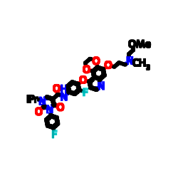 COCCN(C)CCCOc1cc2nccc(Oc3ccc(NC(=O)c4cn(C(C)C)c(=O)n(-c5ccc(F)cc5)c4=O)cc3F)c2c2c1OCCO2